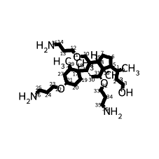 CC(CCO)C1CC[C@H]2C(COCCCN)[C@@H]([C@@]3(C)CC[C@@H](OCCCN)CC3C)C[C@H](OCCCN)[C@]12C